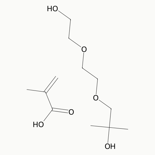 C=C(C)C(=O)O.CC(C)(O)COCCOCCO